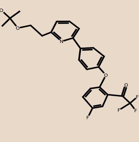 CC(C)(O)OCCc1cccc(-c2ccc(Oc3ccc(F)cc3C(=O)C(F)(F)F)cc2)n1